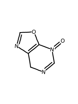 O=[N+]1C=NCc2ncoc21